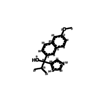 COc1ccc2cc(C(O)(c3cncs3)C(C)C)ccc2c1